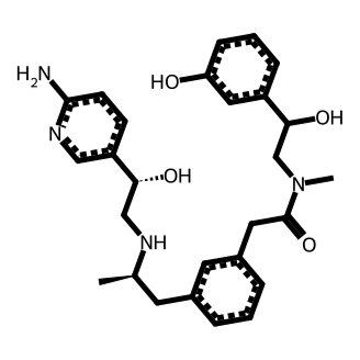 C[C@H](Cc1cccc(CC(=O)N(C)CC(O)c2cccc(O)c2)c1)NC[C@@H](O)c1ccc(N)nc1